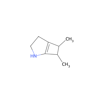 CC1C2=C(NCC2)C1C